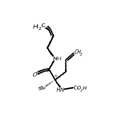 C=CCNC(=O)[C@@](CC=C)(NC(=O)O)C(C)(C)C